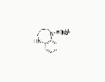 CCCCN1CCCNc2ccccc21.[H-].[Na+]